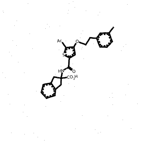 CC(=O)c1sc(C(=O)NC2(C(=O)O)Cc3ccccc3C2)cc1OCCc1cccc(C)c1